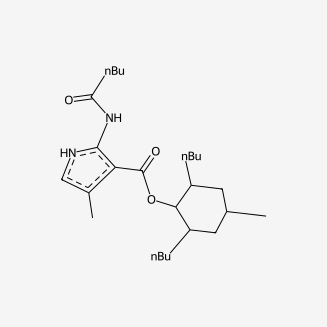 CCCCC(=O)Nc1[nH]cc(C)c1C(=O)OC1C(CCCC)CC(C)CC1CCCC